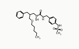 CCCCCOCC(Cc1ccccc1)CN(S)C(=O)NCc1ccc(NS(C)(=O)=O)cc1